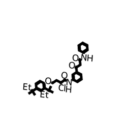 CCC(C)(C)c1ccc(OCCC(Cl)C(=O)Nc2cccc(C(=O)CC(=O)Nc3ccccc3)c2)c(C(C)(C)CC)c1